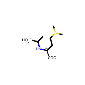 CC(N[C@@H](CC[S+](C)C)C(=O)[O-])C(=O)O